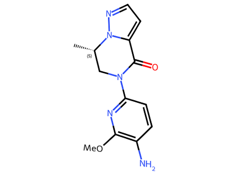 COc1nc(N2C[C@H](C)n3nccc3C2=O)ccc1N